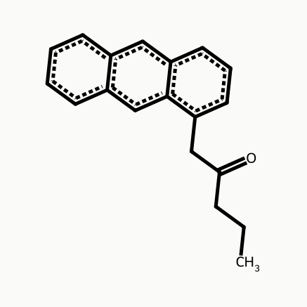 CCCC(=O)Cc1cccc2cc3ccccc3cc12